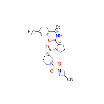 CC[C@@H](NC(=O)[C@H]1CCCN1C(=O)[C@H]1CCCN(S(=O)(=O)N2CC(C#N)C2)C1)c1ccc(C(F)(F)F)cc1